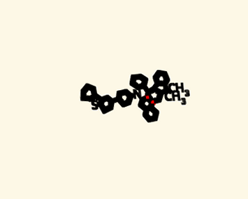 CC1(C)c2ccccc2-c2c(-c3ccccc3N(c3ccc(-c4ccc5sc6ccccc6c5c4)cc3)c3ccc4ccccc4c3)cccc21